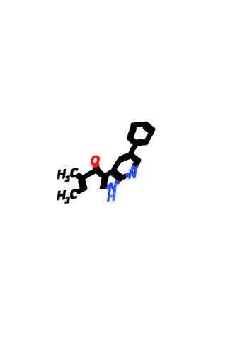 CC=C(C)C(=O)c1c[nH]c2ncc(-c3ccccc3)cc12